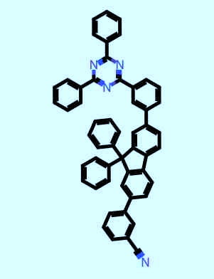 N#Cc1cccc(-c2ccc3c(c2)C(c2ccccc2)(c2ccccc2)c2cc(-c4cccc(-c5nc(-c6ccccc6)nc(-c6ccccc6)n5)c4)ccc2-3)c1